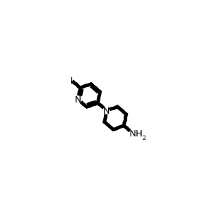 NC1CCN(c2ccc(I)nc2)CC1